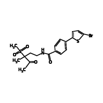 CC(=O)C(C)(CCNC(=O)c1ccc(-c2ccc(Br)s2)cc1)S(C)(=O)=O